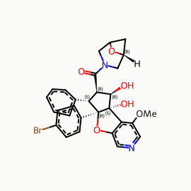 COc1cncc2c1[C@]1(O)[C@H](O)[C@H](C(=O)N3CC4C[C@H](C3)O4)[C@@H](c3ccccc3)[C@]1(c1ccc(Br)cc1)O2